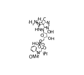 CON(c1ccccc1)[C@H](C(=O)OP(=O)(O)OC[C@H]1O[C@@H](N2NC3=CC4(CN3N)C2=NC=NC4C)[C@H](O)[C@@H]1O)C(C)C